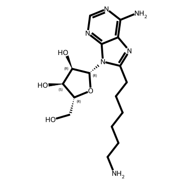 NCCCCCCc1nc2c(N)ncnc2n1[C@@H]1O[C@H](CO)[C@@H](O)[C@H]1O